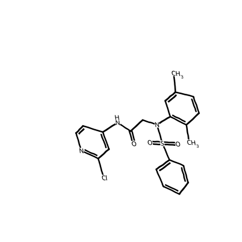 Cc1ccc(C)c(N(CC(=O)Nc2ccnc(Cl)c2)S(=O)(=O)c2ccccc2)c1